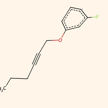 CCCC#CCOc1cc[c]c(F)c1